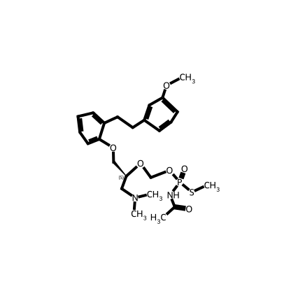 COc1cccc(CCc2ccccc2OC[C@H](CN(C)C)OCOP(=O)(NC(C)=O)SC)c1